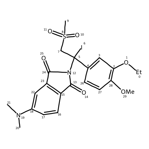 CCOc1cc(C(I)(CS(C)(=O)=O)N2C(=O)c3ccc(N(C)C)cc3C2=O)ccc1OC